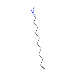 C=CCCCCCCCCC=NC